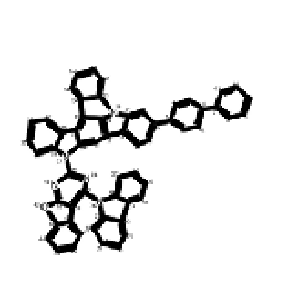 c1ccc(-c2ccc(-c3ccc4c5cc6c(c7ccccc7n6-c6nc(-n7c8ccccc8c8ccccc87)c7c(n6)oc6ccccc67)c6c7ccccc7n(c4c3)c56)cc2)cc1